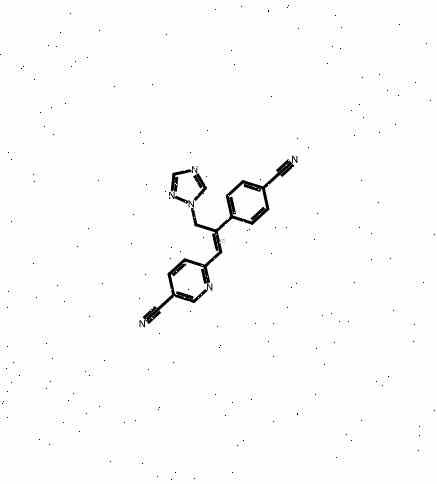 N#Cc1ccc(/C(=C/c2ccc(C#N)cn2)Cn2cncn2)cc1